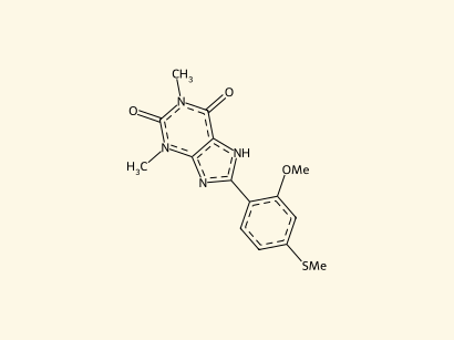 COc1cc(SC)ccc1-c1nc2c([nH]1)c(=O)n(C)c(=O)n2C